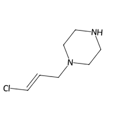 ClC=CCN1CCNCC1